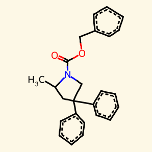 CC1CC(c2ccccc2)(c2ccccc2)CN1C(=O)OCc1ccccc1